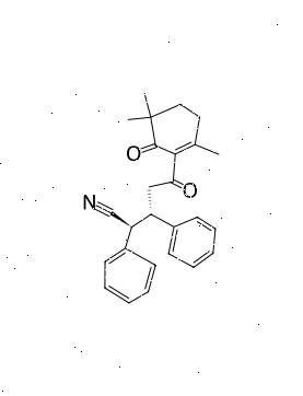 CC1=C(C(=O)C[C@H](c2ccccc2)[C@H](C#N)c2ccccc2)C(=O)C(C)(C)CC1